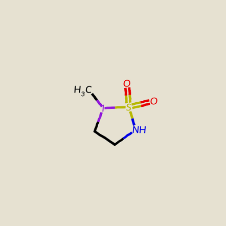 CI1CCNS1(=O)=O